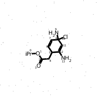 CC(C)OC(=O)CC1C=CC(N)(Cl)C=C1N